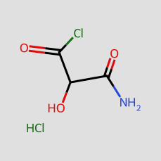 Cl.NC(=O)C(O)C(=O)Cl